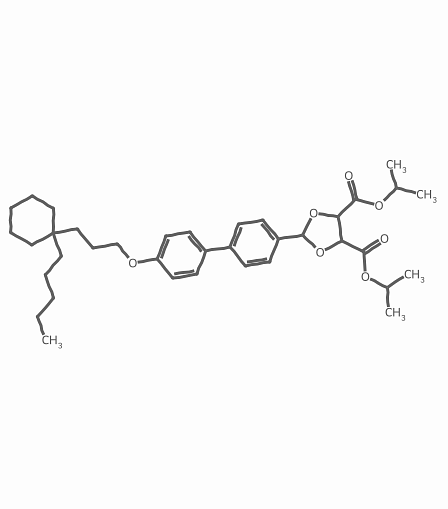 CCCCCC1(CCCOc2ccc(-c3ccc(C4OC(C(=O)OC(C)C)C(C(=O)OC(C)C)O4)cc3)cc2)CCCCC1